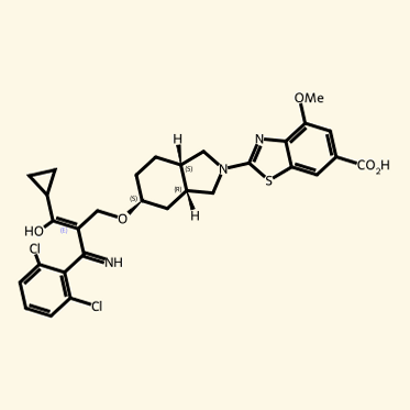 COc1cc(C(=O)O)cc2sc(N3C[C@H]4CC[C@H](OC/C(C(=N)c5c(Cl)cccc5Cl)=C(/O)C5CC5)C[C@H]4C3)nc12